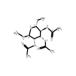 CC(=O)O[C@@H]1[C@H](OC(C)=O)[C@@H](OP)O[C@H](CO)[C@H]1OC(N)=O